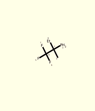 CCC(C)(P)C(F)(F)F